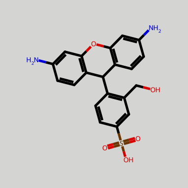 Nc1ccc2c(c1)Oc1cc(N)ccc1C2c1ccc(S(=O)(=O)O)cc1CO